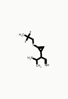 CC(N)C(C=N)C1C=C1SCC(C)(F)F